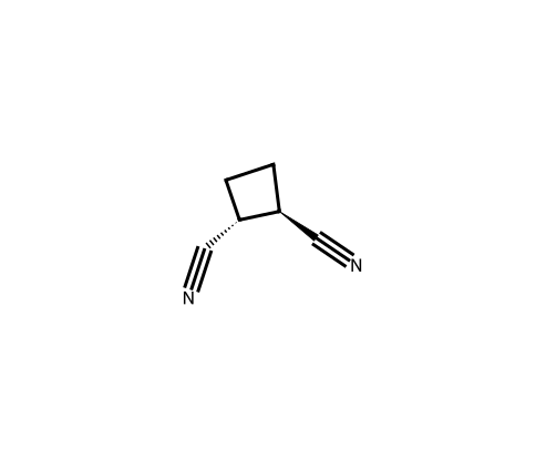 N#C[C@@H]1CC[C@H]1C#N